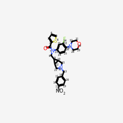 O=C(c1cccs1)N(CC1C2CN(Cc3ccc([N+](=O)[O-])cc3)CC21)c1ccc(N2CCOCC2)c(F)c1